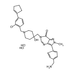 Cl.Cl.Cn1nc2c(=O)n(CC3(O)CCN(Cc4ccc(C5=CCCC5)cc4Cl)CC3)cnc2c1-c1ccc(CN)cc1